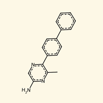 Cc1nc(N)cnc1-c1ccc(-c2ccccc2)cc1